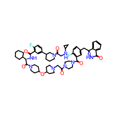 O=C(N[C@@H](C(=O)N1CCC(OC2CCN(CC(=O)N3CCN(C(=O)c4cc(Cc5n[nH]c(=O)c6ccccc56)ccc4F)CC3)CC2)CC1)C1CCCCC1)c1cc(C2CCCN(C(=O)CNC3CC3)C2)ccc1F